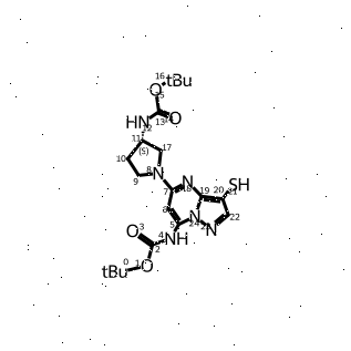 CC(C)(C)OC(=O)Nc1cc(N2CC[C@H](NC(=O)OC(C)(C)C)C2)nc2c(S)cnn12